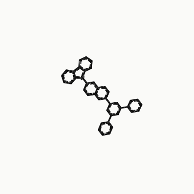 c1ccc(-c2cc(-c3ccccc3)cc(-c3ccc4cc(-n5c6ccccc6c6ccccc65)ccc4c3)c2)cc1